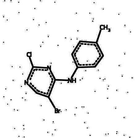 Cc1ccc(Nc2nc(Cl)ncc2Br)cc1